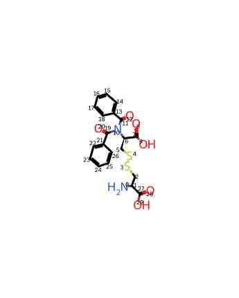 NC(CSSC[C@H](C(=O)O)N(C(=O)c1ccccc1)C(=O)c1ccccc1)C(=O)O